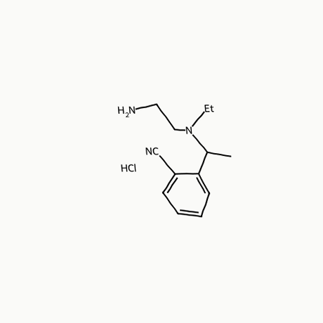 CCN(CCN)C(C)c1ccccc1C#N.Cl